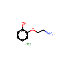 Cl.NCCOc1ccccc1O